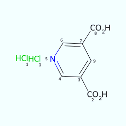 Cl.Cl.O=C(O)c1cncc(C(=O)O)c1